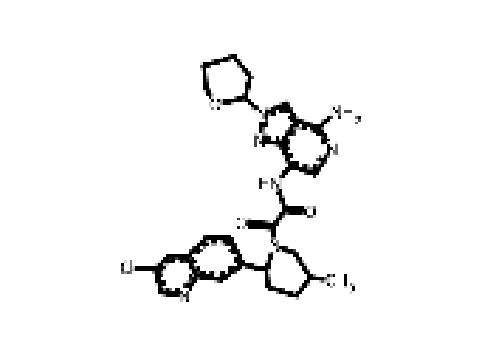 CC1CCC(c2ccc3cc(Cl)cnc3c2)N(C(=O)C(=O)Nc2cnc(N)c3cn(C4CCCCO4)nc23)C1